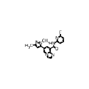 Cc1cc(-c2cc(C(=O)Nc3cccc(F)n3)c3nccn3c2)n(C)n1